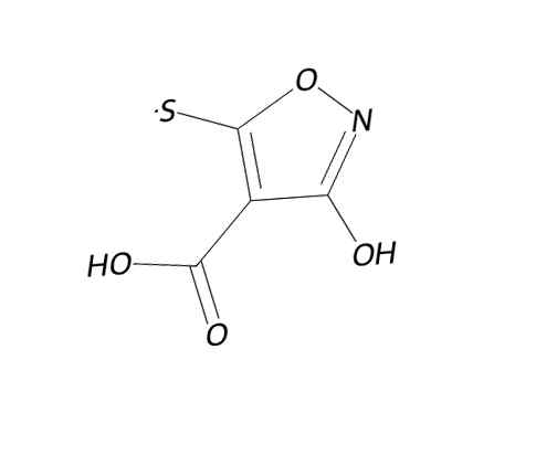 O=C(O)c1c(O)noc1[S]